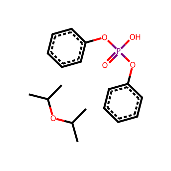 CC(C)OC(C)C.O=P(O)(Oc1ccccc1)Oc1ccccc1